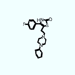 O=c1[nH]c(-c2ccc(F)cc2)c(CCN2CCN(c3ccccc3)CC2)s1